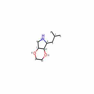 CC(C)CC1NCC2OCCOC12